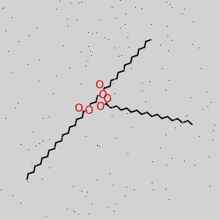 CCCCCCCCCCCCCCCCCC(=O)OCC(COC(=O)CCCCCCCCCCCCC)OC(=O)CCCCCCCCCCCCCCCCC